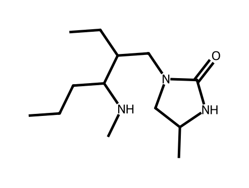 CCCC(NC)C(CC)CN1CC(C)NC1=O